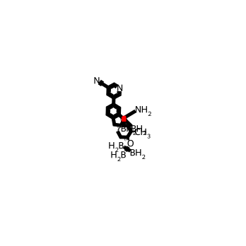 BC(B)(B)O[C@H]1CC[C@@]2(Cc3ccc(-c4cncc(C#N)c4)cc3[C@]23N=C(N)OC3(B)B)C[C@@H]1C